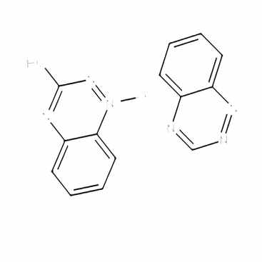 [O-][n+]1nc(O)nc2ccccc21.c1ccc2nncnc2c1